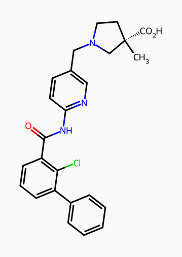 C[C@]1(C(=O)O)CCN(Cc2ccc(NC(=O)c3cccc(-c4ccccc4)c3Cl)nc2)C1